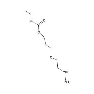 CCOC(=O)OCCCOCCNN